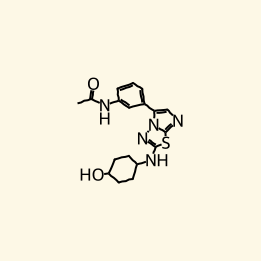 CC(=O)Nc1cccc(-c2cnc3sc(NC4CCC(O)CC4)nn23)c1